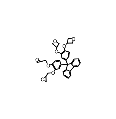 c1ccc2c(c1)-c1ccccc1C2(c1ccc(OCC2CO2)c(OCC2CO2)c1)c1ccc(OC2COC2)c(OC2COC2)c1